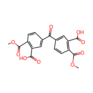 COC(=O)c1ccc(C(=O)c2ccc(C(=O)OC)c(C(=O)O)c2)cc1C(=O)O